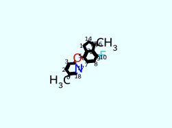 Cc1ccc(Oc2ccc(F)c3c2CC[C@H]3C)nc1